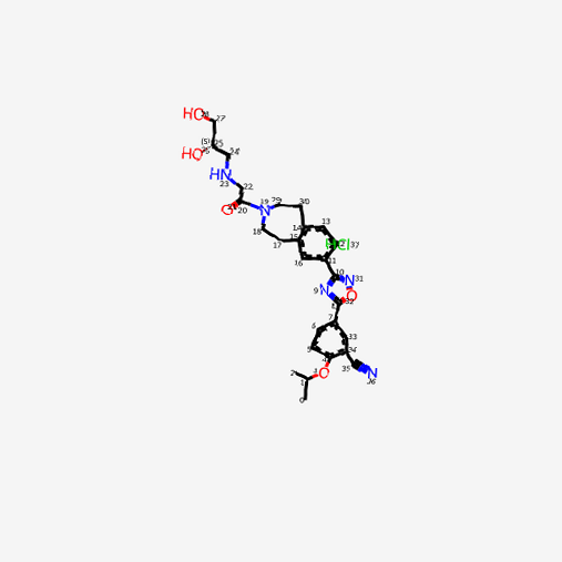 CC(C)Oc1ccc(-c2nc(-c3ccc4c(c3)CCN(C(=O)CNC[C@H](O)CO)CC4)no2)cc1C#N.Cl